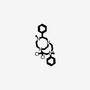 CN1CCN2CCN(CC[N+](C)(c3ccccc3)CC2(Cl)Cl)CC1c1ccccc1